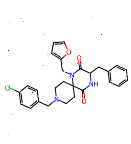 O=C1C(Cc2ccccc2)NC(=O)C2(CCN(Cc3ccc(Cl)cc3)CC2)N1Cc1ccco1